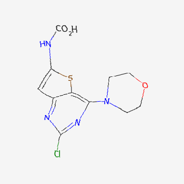 O=C(O)Nc1cc2nc(Cl)nc(N3CCOCC3)c2s1